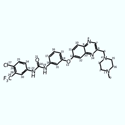 CN1CCN(Cc2cnc3ccc(Oc4cccc(NC(=O)Nc5ccc(Cl)c(C(F)(F)F)c5)c4)cc3n2)CC1